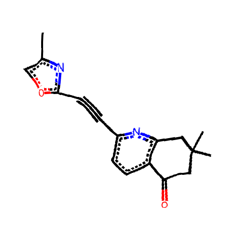 Cc1coc(C#Cc2ccc3c(n2)CC(C)(C)CC3=O)n1